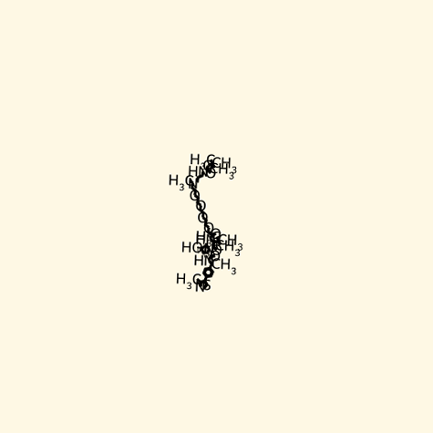 Cc1ncsc1-c1ccc(C(C)NC(=O)[C@@H]2C[C@@H](O)CN2C(=O)C(NC(=O)COCCOCCOCCOCCN(C)CCCNC(=O)OC(C)(C)C)C(C)(C)C)cc1